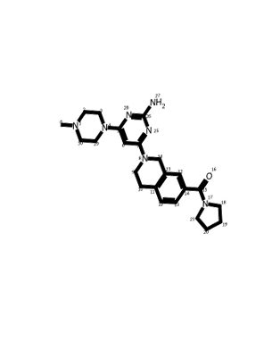 CN1CCN(c2cc(N3CCc4ccc(C(=O)N5CCCC5)cc4C3)nc(N)n2)CC1